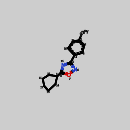 CCCc1ccc(-c2noc(C3CCCCC3)n2)cc1